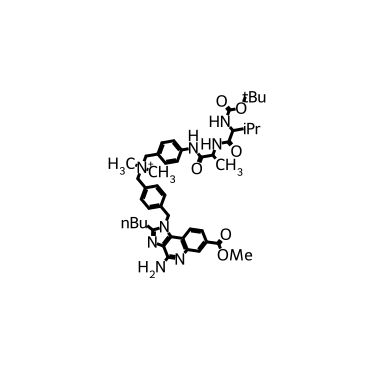 CCCCc1nc2c(N)nc3cc(C(=O)OC)ccc3c2n1Cc1ccc(C[N+](C)(C)Cc2ccc(NC(=O)C(C)NC(=O)C(NC(=O)OC(C)(C)C)C(C)C)cc2)cc1